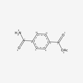 CC(=O)OC(=O)c1ccc(C(N)=O)cc1